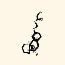 CC(C)CC(=O)OCOc1ccc2c(c1)[C@]13CCCC[C@@H]1[C@H](C2)NCC3